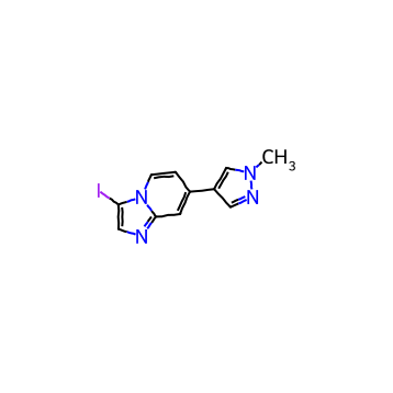 Cn1cc(-c2ccn3c(I)cnc3c2)cn1